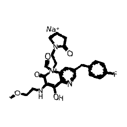 COCCNC1=C(O)c2ncc(Cc3ccc(F)cc3)cc2[N+](C=O)(CCN2CCCC2=O)C1=O.[Na+]